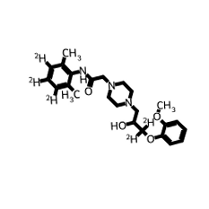 [2H]c1c([2H])c(C)c(NC(=O)CN2CCN(CC(O)C([2H])([2H])Oc3ccccc3OC)CC2)c(C)c1[2H]